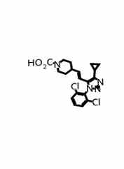 O=C(O)N1CCC(C=Cc2c(C3CC3)nnn2-c2c(Cl)cccc2Cl)CC1